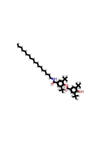 CCCCCCCCCCCCCCCCCCNC(=O)c1cc(C(C)(C)C)c(OC(=O)c2cc(C(C)(C)C)c(O)c(C(C)(C)C)c2)c(C(C)(C)C)c1